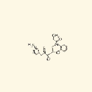 C=CC(=O)N1CC(C(=O)NCc2cnn(C)c2)Oc2ccccc21